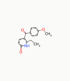 CCc1[nH]c(=O)ccc1C(=O)c1ccc(OC)cc1